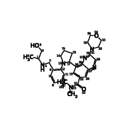 CC(CO)NCc1ccc(F)cc1N1CCCC1c1cc(C(=O)N(C)C)cc2ncc(N3CCOCC3)nc12